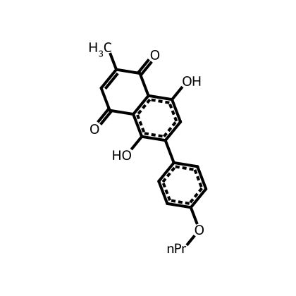 CCCOc1ccc(-c2cc(O)c3c(c2O)C(=O)C=C(C)C3=O)cc1